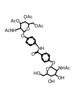 CC(=O)NC1C(O)[C@H](O)C(CO)O[C@H]1Oc1ccc(C(=O)Nc2ccc(O[C@@H]3OC(COC(C)=O)[C@@H](OC(C)=O)C(OC(C)=O)C3NC(C)=O)cc2)cc1